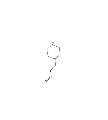 O=CCCN1CCNCC1